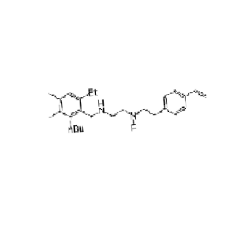 C=Cc1ccc(CCN(F)CCNCc2c(CC)cc(C)c(C)c2CCCC)cc1